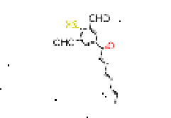 C/C=C/C=C/C=C/C(=O)c1cc(C=O)c(S)c(C=O)c1